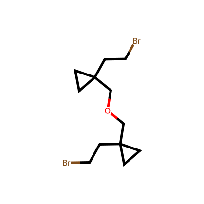 BrCCC1(COCC2(CCBr)CC2)CC1